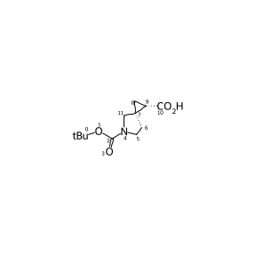 CC(C)(C)OC(=O)N1CC[C@@]2(C[C@@H]2C(=O)O)C1